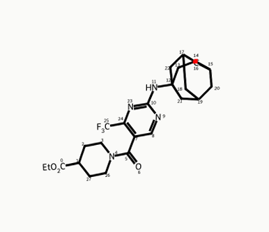 CCOC(=O)C1CCN(C(=O)c2cnc(NC34CCC5CC(CC(C5)C3)C4)nc2C(F)(F)F)CC1